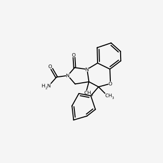 CC1(c2ccccc2)Oc2ccccc2N2C(=O)N(C(N)=O)CC21C